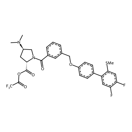 CSc1cc(F)c(F)cc1-c1ccc(OCc2cccc(C(=O)N3C[C@H](N(C)C)C[C@H]3C(=O)OC(=O)C(F)(F)F)c2)cc1